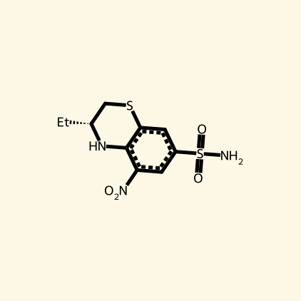 [CH2]C[C@@H]1CSc2cc(S(N)(=O)=O)cc([N+](=O)[O-])c2N1